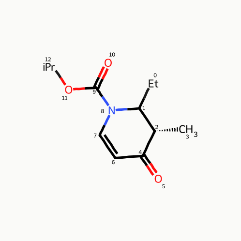 CCC1[C@H](C)C(=O)C=CN1C(=O)OC(C)C